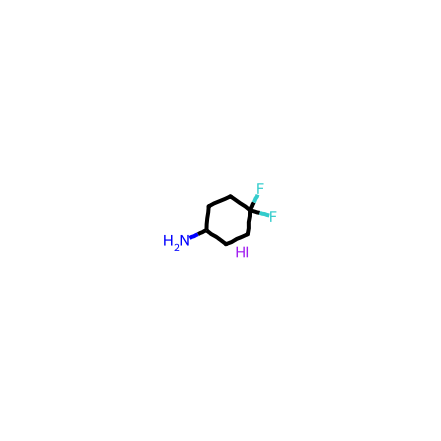 I.NC1CCC(F)(F)CC1